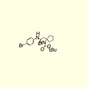 CC(C)(C)OC(=O)NC1(CC(=O)Nc2ccc(Br)cc2)CCCC1